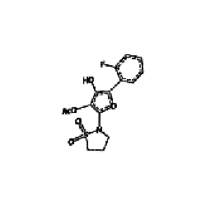 CC(=O)Oc1c(N2CCCS2(=O)=O)oc(-c2ccccc2F)c1O